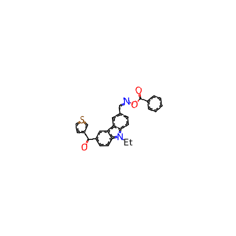 CCn1c2ccc(/C=N\OC(=O)c3ccccc3)cc2c2cc(C(=O)c3ccsc3)ccc21